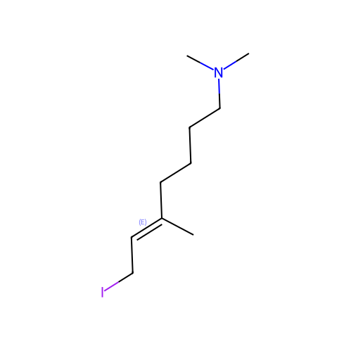 C/C(=C\CI)CCCCN(C)C